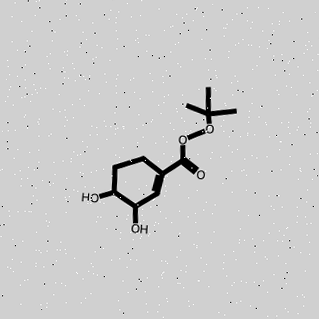 CC(C)(C)OOC(=O)C1=CC(O)C(O)CC1